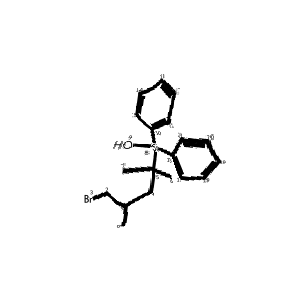 CC(CBr)CC(C)(C)[Si](O)(c1ccccc1)c1ccccc1